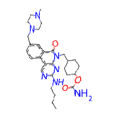 CCCCNc1ncc2c3ccc(CN4CCN(C)CC4)cc3c(=O)n(CC3CCC(OC(N)=O)CC3)c2n1